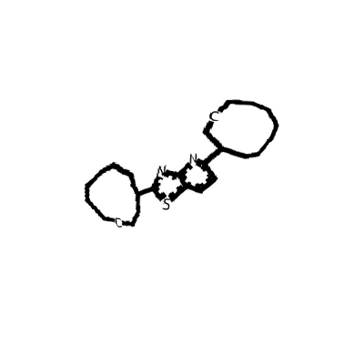 c1cc2sc(C3CCCCCCCCC3)nc2nc1C1CCCCCCCCC1